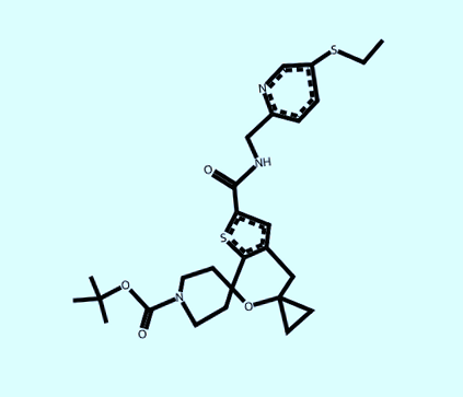 CCSc1ccc(CNC(=O)c2cc3c(s2)C2(CCN(C(=O)OC(C)(C)C)CC2)OC2(CC2)C3)nc1